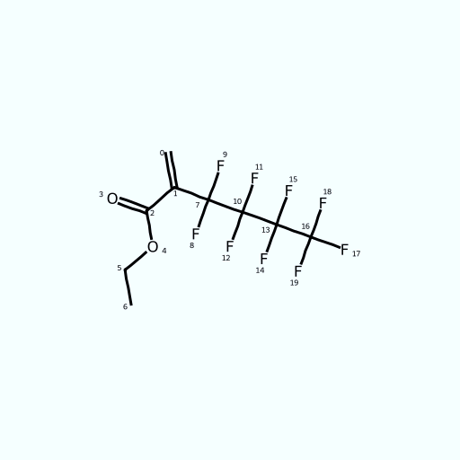 C=C(C(=O)OCC)C(F)(F)C(F)(F)C(F)(F)C(F)(F)F